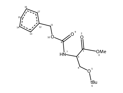 COC(=O)C(COC(C)(C)C)NC(=O)OCc1ccccc1